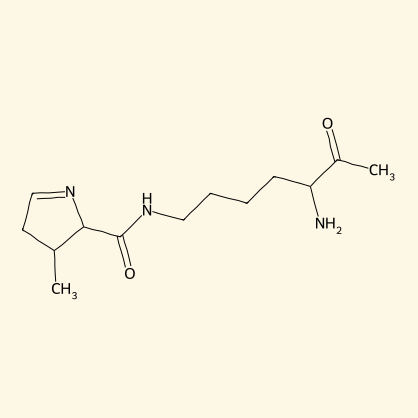 CC(=O)C(N)CCCCNC(=O)C1N=CCC1C